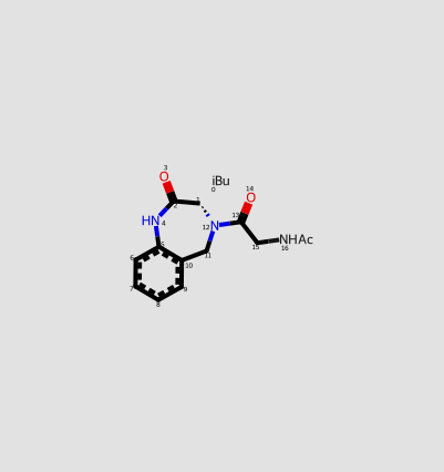 CC[C@H](C)[C@H]1C(=O)Nc2ccccc2CN1C(=O)CNC(C)=O